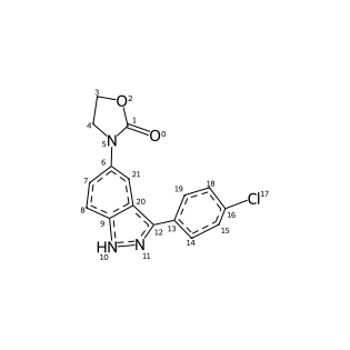 O=C1OCCN1c1ccc2[nH]nc(-c3ccc(Cl)cc3)c2c1